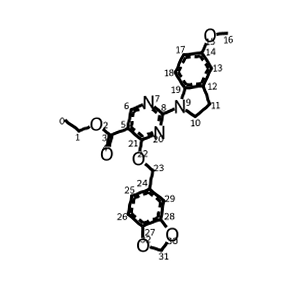 CCOC(=O)c1cnc(N2CCc3cc(OC)ccc32)nc1OCc1ccc2c(c1)OCO2